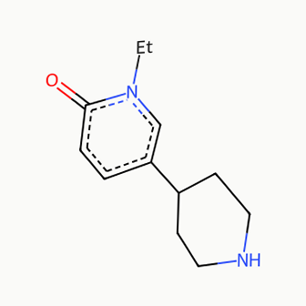 CCn1cc(C2CCNCC2)ccc1=O